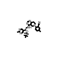 Cc1ccc(N2CCc3ncnc(NC[C@@H](O[Si](C)(C)C(C)(C)C)c4cnc(C)nc4)c3C2)c(C#N)c1